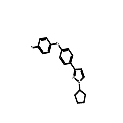 Fc1ccc(Oc2ccc(-c3ccn(C4CCCC4)n3)cc2)cc1